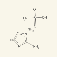 N.NS(=O)(=O)O.Nc1nc[nH]n1